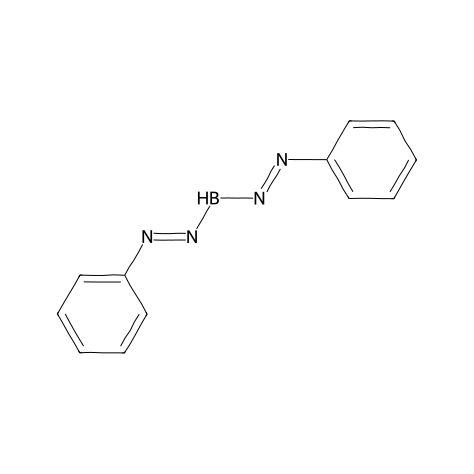 B(N=Nc1ccccc1)N=Nc1ccccc1